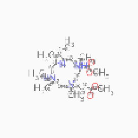 CCC1=C(C)c2cc3[nH]c(cc4nc(cc5[nH]c(cc1n2)c(C)c5C(=O)OC)C(CCC(=O)OC)=C4C)c(C)c3CC